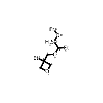 CCC(OCC1(CC)COC1)[SiH2]OC(C)C